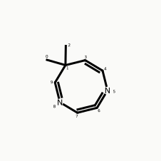 CC1(C)/C=C\N=C=C/N=C\1